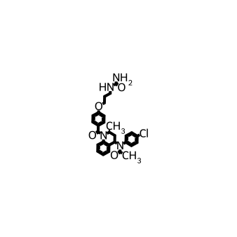 CC(=O)N(c1ccc(Cl)cc1)C1C[C@H](C)N(C(=O)c2ccc(OCCCNC(N)=O)cc2)c2ccccc21